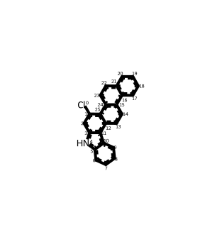 Clc1cc2[nH]c3ccccc3c2c2ccc3c4ccccc4ccc3c12